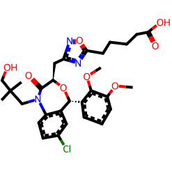 COc1cccc([C@H]2O[C@H](Cc3noc(CCCCC(=O)O)n3)C(=O)N(CC(C)(C)CO)c3ccc(Cl)cc32)c1OC